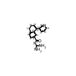 NC(N)=NC(=O)c1ccc2c(c1)C(c1cccnc1)=CCC2